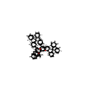 CC1(C)c2ccccc2-c2ccc(N(c3ccc4c(c3)-c3ccccc3C4(c3ccccc3)c3ccccc3)c3ccc4c(c3)C3(c5ccccc5-c5ccc(N(c6ccccc6)c6ccccc6)cc53)c3ccccc3-4)cc21